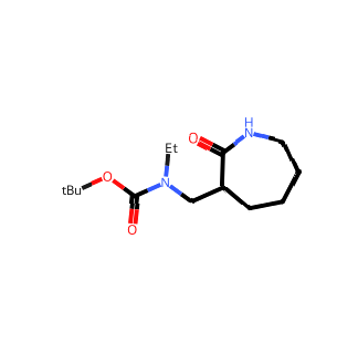 CCN(CC1CCCCNC1=O)C(=O)OC(C)(C)C